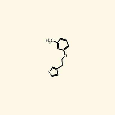 Cc1cccc(OCCc2ccsc2)c1